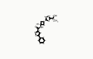 C[C@@H](O)c1nnc([C@H]2C[C@](F)(NC(=O)c3cc(-c4ccccc4)on3)C2)o1